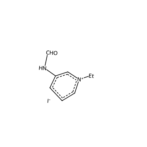 CC[n+]1cccc(NC=O)c1.[I-]